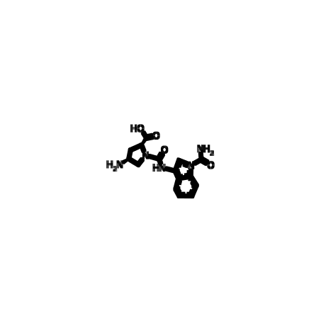 NC(=O)n1cc(NC(=O)N2C[C@@H](N)C[C@H]2C(=O)O)c2ccccc21